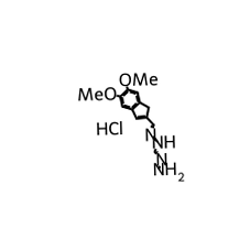 COc1cc2c(cc1OC)CC(C=NNC=NN)=C2.Cl